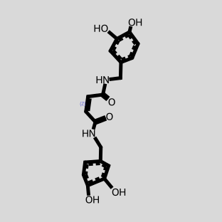 O=C(/C=C\C(=O)NCc1ccc(O)c(O)c1)NCc1ccc(O)c(O)c1